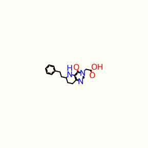 O=C(O)Cn1cnc2c(c1=O)NC(CCc1ccccc1)CC2